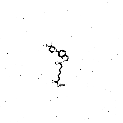 COC(=O)CCCCCC(=O)N1CCc2ccc(N3CCC(F)(F)C3)cc21